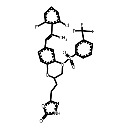 CC(=Cc1ccc2c(c1)N(S(=O)(=O)c1cccc(C(F)(F)F)c1)CC(CCc1n[nH]c(=O)o1)O2)c1c(F)cccc1Cl